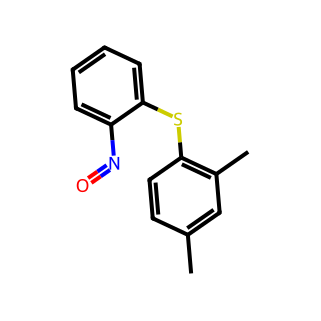 Cc1ccc(Sc2ccccc2N=O)c(C)c1